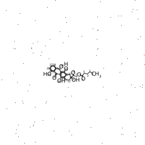 CCCCC(=O)OCC(=O)[C@@]1(O)CCc2c(O)c3c(c(O)c2C1)C(=O)c1cccc(O)c1C3=O